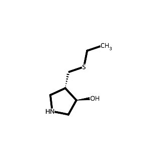 CCSC[C@H]1CNC[C@@H]1O